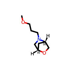 COCCCN1C[C@@H]2C[C@H]1CO2